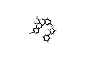 Cc1cc2c(cn1)C=C(c1cc(Nn3ccc(-c4ccccc4)n3)ccc1C)C(C=O)N2C